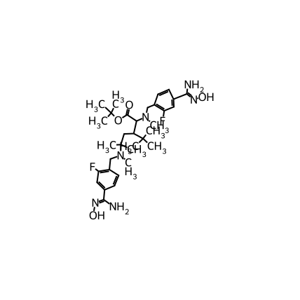 CN(Cc1ccc(C(N)=NO)cc1F)C(C(=O)OC(C)(C)C)C(CC(C)(C)N(C)Cc1ccc(C(N)=NO)cc1F)C(C)(C)C